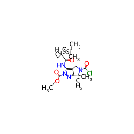 CCOC(=O)n1nc2c(c1NC(=O)C1([Si](C)(C)CC)CCC1)CN(C(=O)Cl)C2(C)C